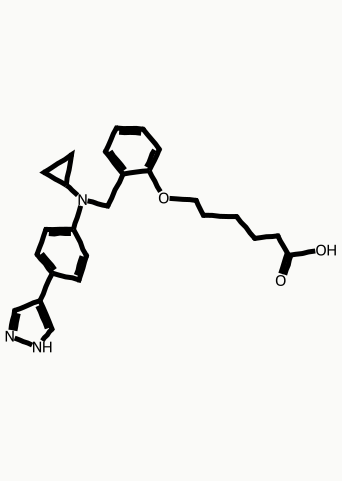 O=C(O)CCCCCOc1ccccc1CN(c1ccc(-c2cn[nH]c2)cc1)C1CC1